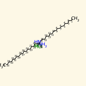 CCCCCCCCCCCCCCCCCCNCCCCCCCCCCCCCCCCCC.Cl.Cl.N